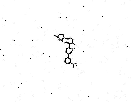 Cc1ccc2c(n1)oc1c(-c3ccc(-c4cccc(C(C)C)c4)c[n+]3C)c(C)ccc12